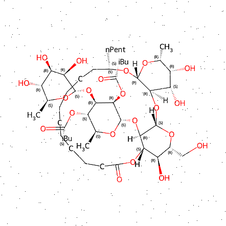 CCCCC[C@H]1CCCCCCCCCC(=O)O[C@H]2[C@H](O)[C@@H](CO)O[C@@H](O[C@H]3[C@H](O1)O[C@H](C)[C@H](O)[C@@H]3O)[C@@H]2O[C@@H]1O[C@@H](C)[C@H](OC(=O)[C@@H](C)CC)[C@@H](O[C@@H]2O[C@@H](C)[C@H](O)[C@@H](O)[C@H]2O)[C@H]1OC(=O)[C@@H](C)CC